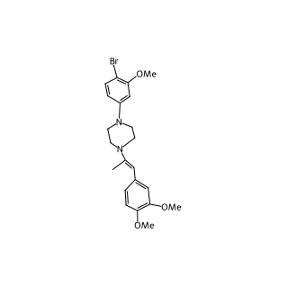 COc1cc(N2CCN(C(C)=Cc3ccc(OC)c(OC)c3)CC2)ccc1Br